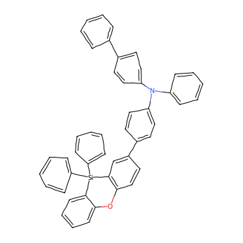 c1ccc(-c2ccc(N(c3ccccc3)c3ccc(-c4ccc5c(c4)[Si](c4ccccc4)(c4ccccc4)c4ccccc4O5)cc3)cc2)cc1